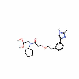 COC(CN(C(=O)CCOCCc1cccc(-c2cn(C)c(C)n2)c1)C1CCCCC1)OC